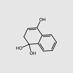 OC1=CCC(O)(O)c2ccccc21